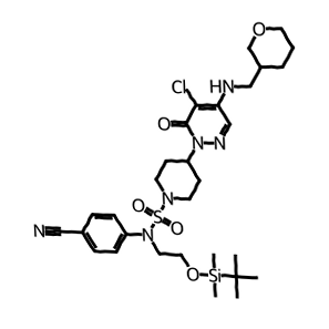 CC(C)(C)[Si](C)(C)OCCN(c1ccc(C#N)cc1)S(=O)(=O)N1CCC(n2ncc(NCC3CCCOC3)c(Cl)c2=O)CC1